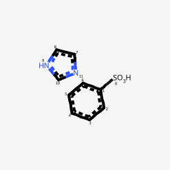 O=S(=O)(O)c1ccccc1.c1c[nH]cn1